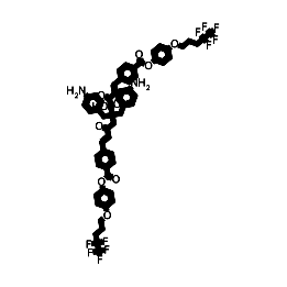 Nc1ccc(CC(CC(=O)C=Cc2ccc(C(=O)Oc3ccc(OCCCC(F)(F)C(F)(F)F)cc3)cc2)(Cc2ccc(N)cc2)C(O)(O)C(=O)C=Cc2ccc(C(=O)Oc3ccc(OCCCC(F)(F)C(F)(F)F)cc3)cc2)cc1